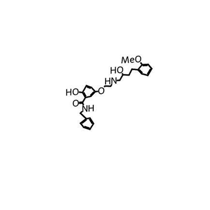 COc1ccccc1CCC(O)CNCCOc1ccc(O)c(C(=O)NCc2ccccc2)c1